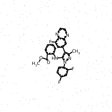 COC(=O)c1ccccc1Nc1c(-c2cc(F)c3nccnc3c2)c(C)nn1-c1ccc(F)cc1F